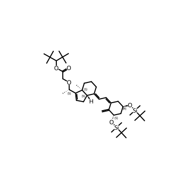 C=C1C(=CC=C2CCC[C@]3(C)C([C@H](C)OCC(=O)OC(C(C)(C)C)C(C)(C)C)=CC[C@@H]23)C[C@@H](O[Si](C)(C)C(C)(C)C)C[C@@H]1O[Si](C)(C)C(C)(C)C